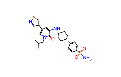 CC(C)Cn1cc(-c2cnsc2)cc(N[C@H]2CC[C@@H](c3ccc(S(N)(=O)=O)cc3)CC2)c1=O